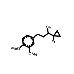 CCC1(C(O)CCc2ccc(OC)c(OC)c2)CC1